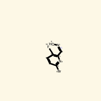 O/N=C\c1nc(Br)ccc1F